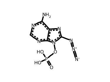 [N-]=[N+]=Nc1nc2c(N)ncnc2n1OP(=O)(O)O